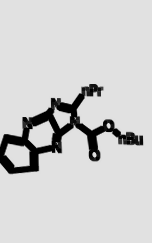 CCCCOC(=O)n1c(CCC)nc2nc3ccccc3nc21